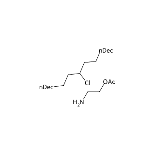 CC(=O)OCCN.CCCCCCCCCCCCC(Cl)CCCCCCCCCCCC